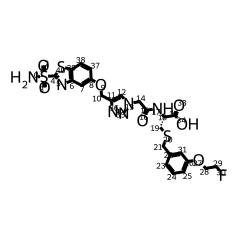 NS(=O)(=O)c1nc2cc(OCc3cn(CC(=O)N[C@@H](CSCc4cccc(OCCF)c4)C(=O)O)nn3)ccc2s1